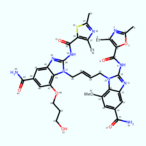 CCc1nc(C)oc1C(=O)Nc1nc2cc(C(N)=O)cc(OC)c2n1CC=CCn1c(NC(=O)c2sc(C)nc2CC)nc2cc(C(N)=O)cc(OCCCO)c21